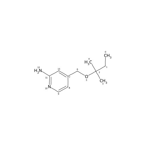 CCC(C)(C)OCc1ccnc(N)c1